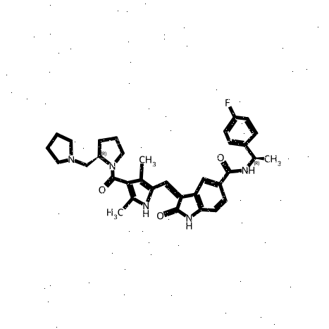 Cc1[nH]c(C=C2C(=O)Nc3ccc(C(=O)N[C@H](C)c4ccc(F)cc4)cc32)c(C)c1C(=O)N1CCC[C@@H]1CN1CCCC1